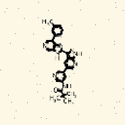 Cc1cccc(-c2cncc3[nH]c(-c4n[nH]c5ncc(-c6cncc(NC(=O)C(C)(C)C)c6)cc45)nc23)c1